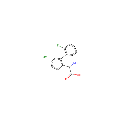 Cl.NC(C(=O)O)c1ccccc1-c1ccccc1F